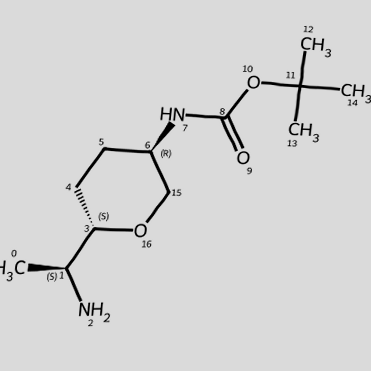 C[C@H](N)[C@@H]1CC[C@@H](NC(=O)OC(C)(C)C)CO1